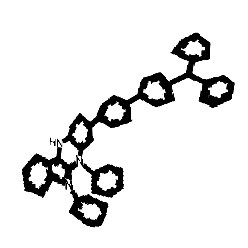 c1ccc(C(c2ccccc2)c2ccc(-c3ccc(-c4ccc5c(c4)N(c4ccccc4)c4c(c6ccccc6n4-c4ccccc4)N5)cc3)cc2)cc1